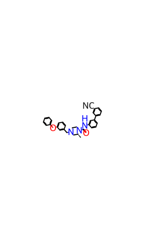 C[C@H]1CN(Cc2cccc(Oc3ccccc3)c2)CCN1C(=O)Nc1cccc(-c2cccc(C#N)c2)c1